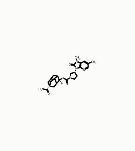 Cc1cnc2c(c1)n(C)c(=O)n2[C@@H]1CCN(C(=O)O[C@H]2C3CC4CC2C[C@](C(N)=O)(C4)C3)C1